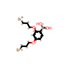 OB(O)c1ccc(OCCCBr)cc1OCCCBr